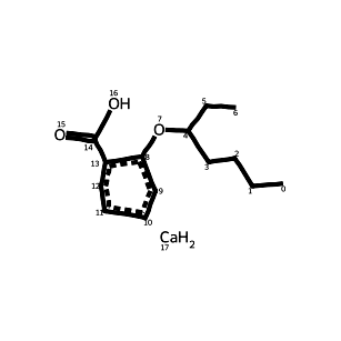 CCCCC(CC)Oc1ccccc1C(=O)O.[CaH2]